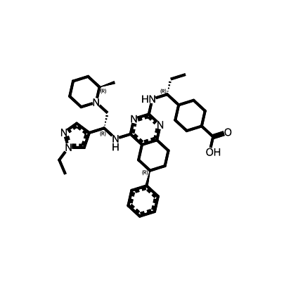 CC[C@@H](Nc1nc2c(c(N[C@@H](CN3CCCC[C@H]3C)c3cnn(CC)c3)n1)C[C@H](c1ccccc1)CC2)C1CCC(C(=O)O)CC1